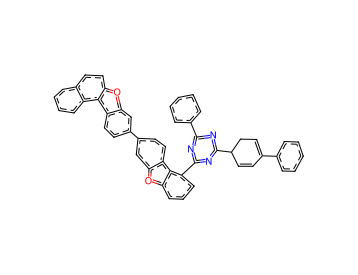 C1=CC(c2nc(-c3ccccc3)nc(-c3cccc4oc5cc(-c6ccc7c(c6)oc6ccc8ccccc8c67)ccc5c34)n2)CC=C1c1ccccc1